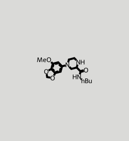 CCCCNC(=O)C1CN(c2cc(OC)c3c(c2)OCO3)CCN1